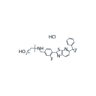 CC(C)(CC(=O)O)NCc1ccc(-c2nc3ccc(C4(c5ccccc5)C=C4)nc3s2)c(F)c1.Cl